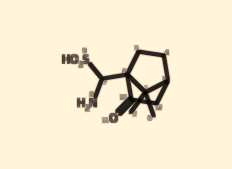 CC1(C)C2CCC1(C(N)S(=O)(=O)O)C(=O)C2